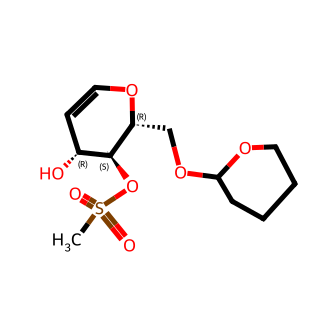 CS(=O)(=O)O[C@H]1[C@H](O)C=CO[C@@H]1COC1CCCCO1